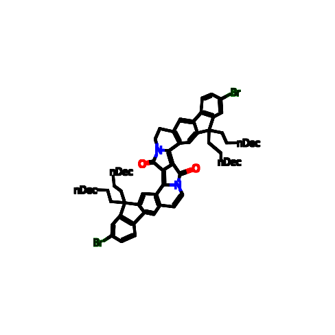 CCCCCCCCCCCCC1(CCCCCCCCCCCC)c2cc(Br)ccc2-c2cc3c(cc21)C1=C2C(=O)N4CCc5cc6c(cc5C4=C2C(=O)N1C=C3)C(CCCCCCCCCCCC)(CCCCCCCCCCCC)c1cc(Br)ccc1-6